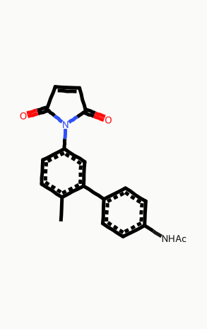 CC(=O)Nc1ccc(-c2cc(N3C(=O)C=CC3=O)ccc2C)cc1